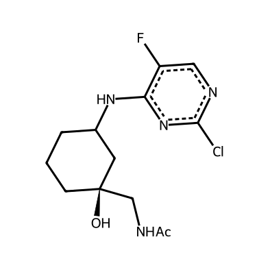 CC(=O)NC[C@]1(O)CCCC(Nc2nc(Cl)ncc2F)C1